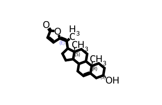 C/C(=C1/C=CC(=O)O1)C1CCC2C3CC=C4C[C@@H](O)CC[C@]4(C)C3CC[C@]12C